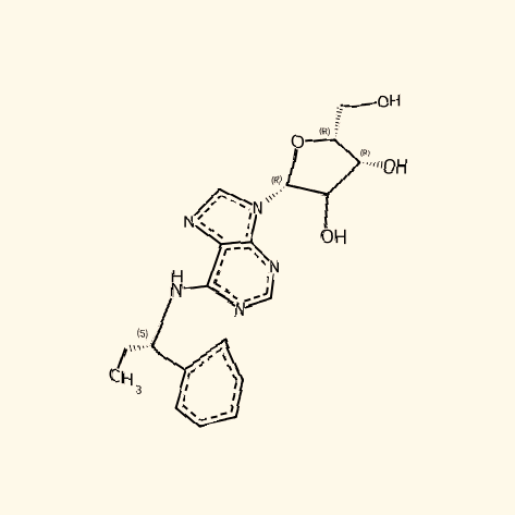 CC[C@H](Nc1ncnc2c1ncn2[C@@H]1O[C@H](CO)[C@H](O)C1O)c1ccccc1